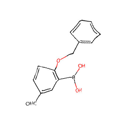 O=Cc1ccc(OCc2ccccc2)c(B(O)O)c1